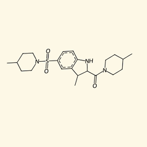 CC1CCN(C(=O)C2Nc3ccc(S(=O)(=O)N4CCC(C)CC4)cc3C2C)CC1